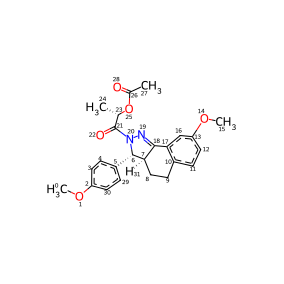 COc1ccc([C@H]2[C@@H]3CCc4ccc(OC)cc4C3=NN2C(=O)[C@H](C)OC(C)=O)cc1